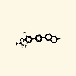 CC1CCC2CC(c3ccc(-c4cc(F)c(OC(F)F)c(F)c4)cc3)CCC2C1